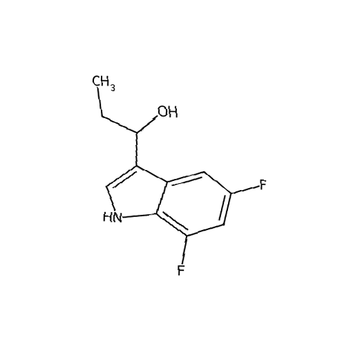 CCC(O)c1c[nH]c2c(F)cc(F)cc12